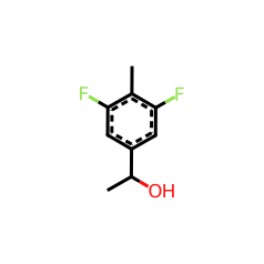 Cc1c(F)cc(C(C)O)cc1F